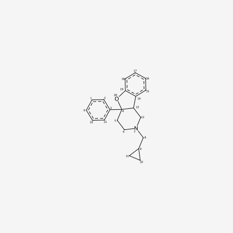 c1ccc(C23CCN(CC4CC4)CC2c2ccccc2O3)cc1